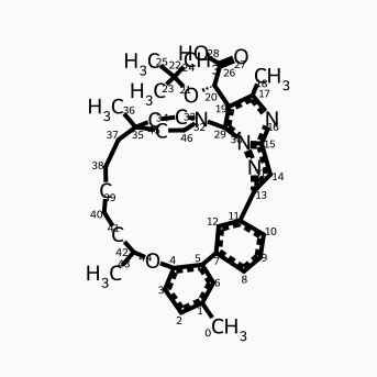 Cc1ccc2c(c1)-c1cccc(c1)-c1cc3nc(C)c([C@H](OC(C)(C)C)C(=O)O)c(n3n1)N1CCC(C)(CCCCCC(C)O2)CC1